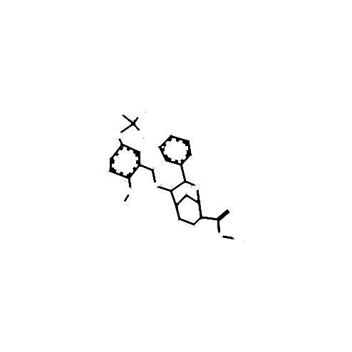 COC(=O)C1CCC2CC1NC(c1ccccc1)C2NCc1cc(OC(F)(F)F)ccc1OC